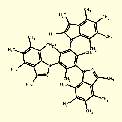 Cc1c(-n2nc(C)c3c(C)c(C)c(C)c(C)c32)c(C)c(-n2c(C)c(C)c3c(C)c(C)c(C)c(C)c32)c(C)c1-n1nc(C)c2c(C)c(C)c(C)c(C)c21